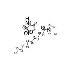 CC(C)C(N)S(=O)(=O)O.CCCCCCCCCCCC(=O)N(CC)CC